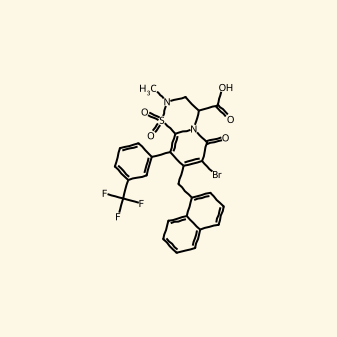 CN1CC(C(=O)O)n2c(c(-c3cccc(C(F)(F)F)c3)c(Cc3cccc4ccccc34)c(Br)c2=O)S1(=O)=O